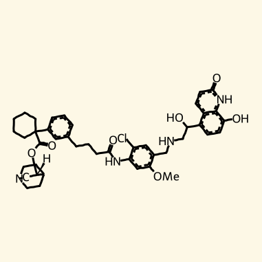 COc1cc(NC(=O)CCCc2cccc(C3(C(=O)O[C@H]4CN5CCC4CC5)CCCCC3)c2)c(Cl)cc1CNCC(O)c1ccc(O)c2[nH]c(=O)ccc12